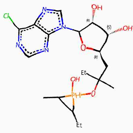 CCC1C(C)[PH]1(O)OC(C)(CC)C[C@H]1OC(n2cnc3c(Cl)ncnc32)[C@H](O)[C@@H]1O